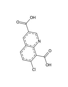 O=C(O)c1cnc2c(C(=O)O)c(Cl)ccc2c1